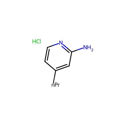 CCCc1ccnc(N)c1.Cl